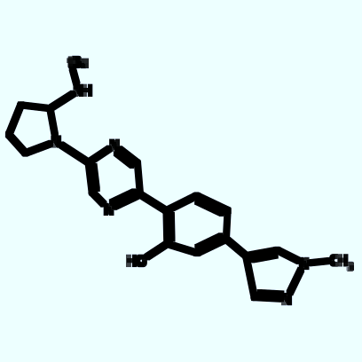 Cn1cc(-c2ccc(-c3cnc(N4CCCC4NC(C)(C)C)cn3)c(O)c2)cn1